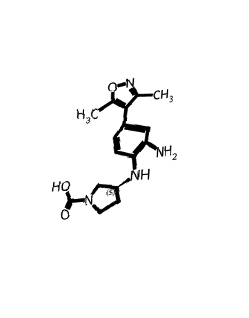 Cc1noc(C)c1-c1ccc(N[C@H]2CCN(C(=O)O)C2)c(N)c1